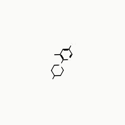 Cc1cc(N)cnc1N1CCC(O)CC1